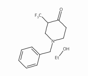 CCO.O=C1CCN(Cc2ccccc2)CC1C(F)(F)F